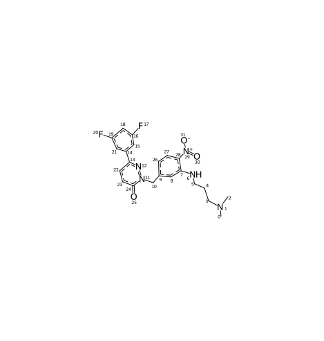 CN(C)CCCNc1cc(Cn2nc(-c3cc(F)cc(F)c3)ccc2=O)ccc1[N+](=O)[O-]